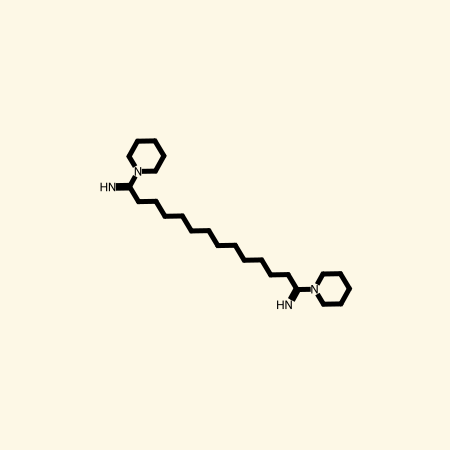 N=C(CCCCCCCCCCCCC(=N)N1CCCCC1)N1CCCCC1